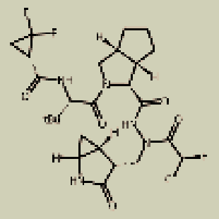 CC(C)(C)[C@H](NC(=O)[C@@H]1CC1(F)F)C(=O)N1C[C@@H]2CCC[C@@H]2[C@H]1C(=O)NN(C[C@@H]1C(=O)N[C@@H]2C[C@H]12)C(=O)[C@@H](F)Cl